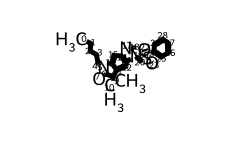 CCCCCN1C(=O)C(C)(C)c2cc3c(cc21)ncn3CS(=O)(=O)c1ccccc1